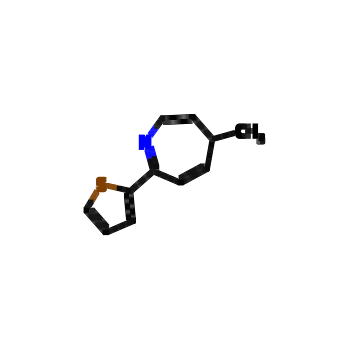 CC1C=CN=C(c2cccs2)C=C1